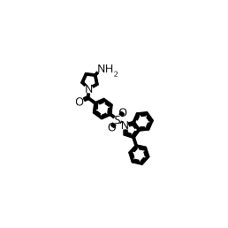 NC1CCN(C(=O)c2ccc(S(=O)(=O)n3cc(-c4ccccc4)c4ccccc43)cc2)C1